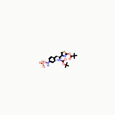 CC(C)(C)OC(=O)N[C@@H](Cc1ccc(NO[SH](=O)=O)cc1)c1csc(OC(=O)C(C)(C)C)n1